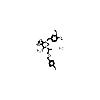 COc1ccc(CN2CN(C(C)COCc3ccc(F)cc3)C(N)c3[nH]cnc32)cc1OC.Cl